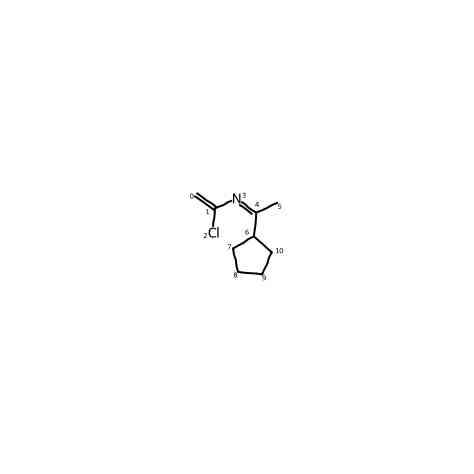 C=C(Cl)/N=C(/C)C1CCCC1